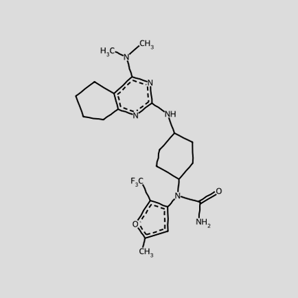 Cc1cc(N(C(N)=O)C2CCC(Nc3nc4c(c(N(C)C)n3)CCCC4)CC2)c(C(F)(F)F)o1